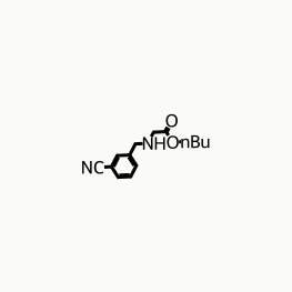 CCCCOC(=O)CNCc1cccc(C#N)c1